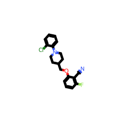 N#Cc1c(F)cccc1OCC1CCN(c2ccccc2Cl)CC1